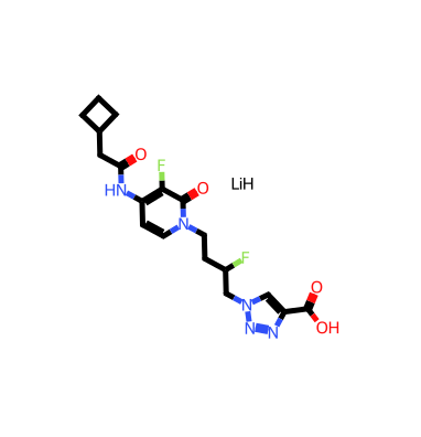 O=C(CC1CCC1)Nc1ccn(CCC(F)Cn2cc(C(=O)O)nn2)c(=O)c1F.[LiH]